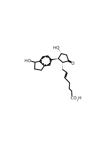 O=C(O)CCCC=CC[C@H]1C(=O)C[C@@H](O)[C@@H]1c1ccc2c(c1)CCC2O